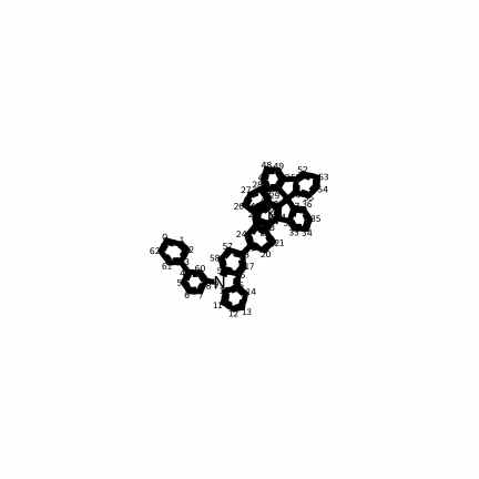 c1ccc(-c2cccc(-n3c4ccccc4c4cc(-c5ccc6c(c5)c5ccccc5n6-c5ccccc5C5(c6ccccc6)c6ccccc6-c6ccccc65)ccc43)c2)cc1